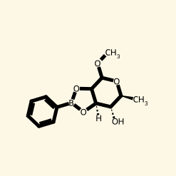 COC1O[C@@H](C)[C@H](O)[C@H]2OB(c3ccccc3)OC12